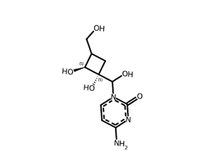 Nc1ccn(C(O)[C@]2(O)CC(CO)[C@@H]2O)c(=O)n1